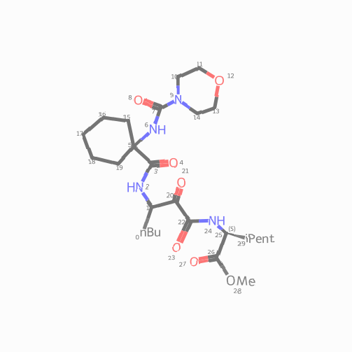 CCCCC(NC(=O)C1(NC(=O)N2CCOCC2)CCCCC1)C(=O)C(=O)N[C@H](C(=O)OC)C(C)CCC